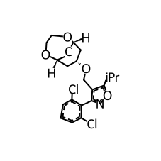 CC(C)c1onc(-c2c(Cl)cccc2Cl)c1CO[C@@H]1C[C@H]2CC[C@@H](C1)OCCO2